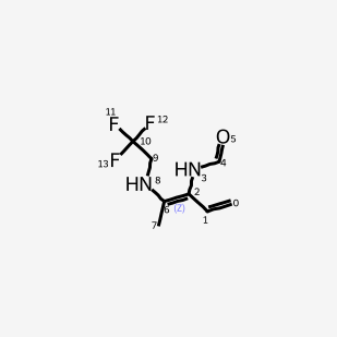 C=C/C(NC=O)=C(\C)NCC(F)(F)F